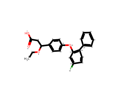 CCOC(CC(=O)O)c1ccc(Oc2cc(F)ccc2-c2ccccc2)cc1